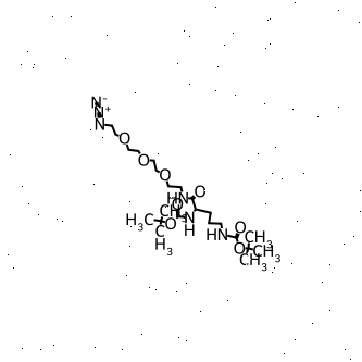 CC(C)(C)OC(=O)NCCCC(NC(=O)OC(C)(C)C)C(=O)NCCOCCOCCOCCN=[N+]=[N-]